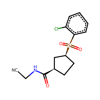 N#CCNC(=O)[C@@H]1CC[C@H](S(=O)(=O)c2ccccc2Cl)C1